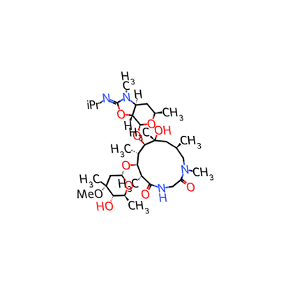 CO[C@]1(C)C[C@H](O[C@H]2[C@H](C)[C@@H](O[C@@H]3O[C@H](C)C[C@H]4[C@H]3O/C(=N\C(C)C)N4C)[C@](C)(O)C[C@@H](C)CN(C)C(=O)CNC(=O)[C@@H]2C)O[C@@H](C)[C@@H]1O